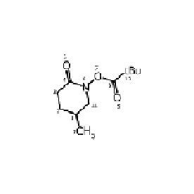 CC1CCC(=O)N(OC(=O)C(C)(C)C)C1